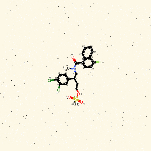 CN(CC(CCOS(C)(=O)=O)c1ccc(Cl)c(Cl)c1)C(=O)c1ccc(F)c2ccccc12